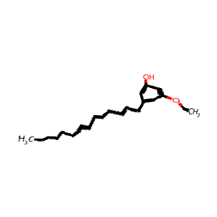 CCCCCCCCCCCCCCc1cc(O)cc(OCC)c1